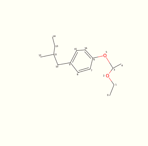 CCOC(C)Oc1ccc(CC(C)CC)cc1